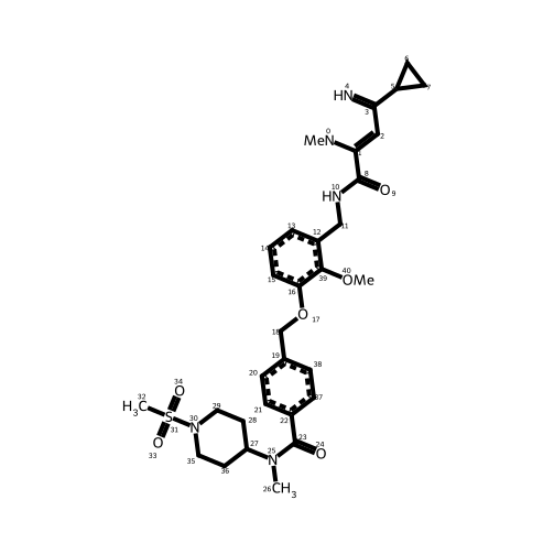 CN/C(=C\C(=N)C1CC1)C(=O)NCc1cccc(OCc2ccc(C(=O)N(C)C3CCN(S(C)(=O)=O)CC3)cc2)c1OC